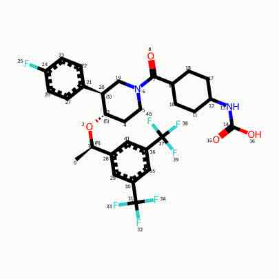 C[C@@H](O[C@H]1CCN(C(=O)C2CCC(NC(=O)O)CC2)C[C@@H]1c1ccc(F)cc1)c1cc(C(F)(F)F)cc(C(F)(F)F)c1